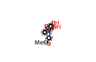 COC(=O)c1ccc(CN2C(=O)C3(COc4cc(O)c(O)cc43)c3ccccc32)cc1